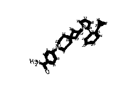 NC(=O)c1ccc(N2CCC3(CC2)CC(N2CCC[C@H]2c2ccccc2C2CC2)C3)cc1